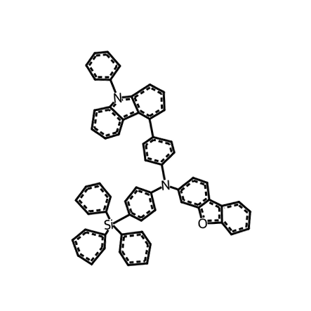 c1ccc(-n2c3ccccc3c3c(-c4ccc(N(c5ccc([Si](c6ccccc6)(c6ccccc6)c6ccccc6)cc5)c5ccc6c(c5)oc5ccccc56)cc4)cccc32)cc1